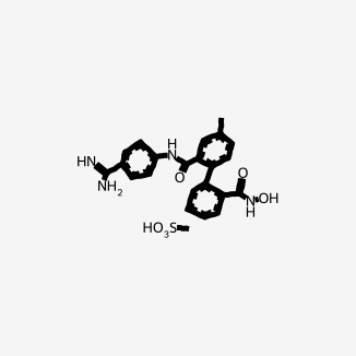 CS(=O)(=O)O.Cc1ccc(-c2ccccc2C(=O)NO)c(C(=O)Nc2ccc(C(=N)N)cc2)c1